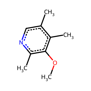 COc1c(C)ncc(C)c1C